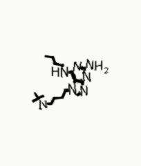 CCCCNc1nc(N)nc2ncn(CCCCN(C)C(C)(C)C)c12